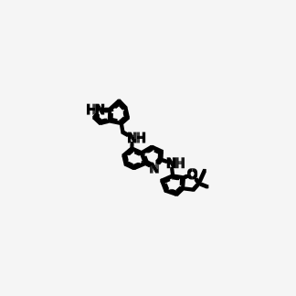 CC1(C)Cc2cccc(Nc3ccc4c(NCc5cccc6[nH]ccc56)cccc4n3)c2O1